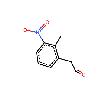 Cc1c(CC=O)cccc1[N+](=O)[O-]